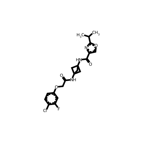 CC(C)c1nc(C(=O)NC23CC(NC(=O)COc4ccc(Cl)c(F)c4)(C2)C3)co1